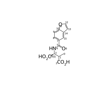 CC(C(=O)O)[C@H](NC(=O)c1ccc2occc2c1)C(=O)O